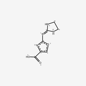 O=C(O)c1csc(N=C2NCCN2)n1